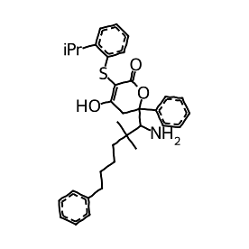 CC(C)c1ccccc1SC1=C(O)CC(c2ccccc2)(C(N)C(C)(C)CCCCc2ccccc2)OC1=O